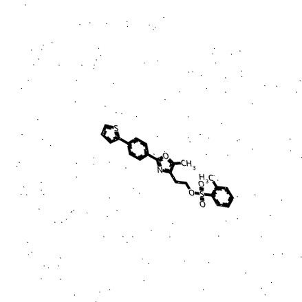 Cc1ccccc1S(=O)(=O)OCCc1nc(-c2ccc(-c3cccs3)cc2)oc1C